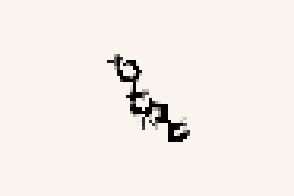 c1csc(-c2cc3nc(C4CCNCC4)ncc3[nH]2)c1